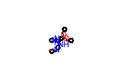 c1ccc(COc2cc3nc(N4CCCCC4)nc(NC4CCN(Cc5ccccc5)CC4)c3cc2OCc2ccccc2)cc1